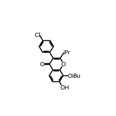 CC(C)COc1c(O)ccc2c(=O)c(-c3ccc(Cl)cc3)c(C(C)C)oc12